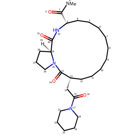 CNC(=O)[C@@H]1CCCCCCCCC[C@H](CC(=O)N2CCCCC2)C(=O)N2CCC[C@H]2C(=O)N1